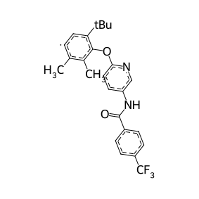 Cc1[c]cc(C(C)(C)C)c(Oc2ccc(NC(=O)c3ccc(C(F)(F)F)cc3)cn2)c1C